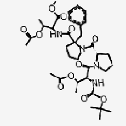 COC(=O)C(NC(=O)C1(Cc2ccccc2)CCCN1C(=O)[C@@H]1CCCN1C(=O)[C@@H](NC(=O)OC(C)(C)C)[C@@H](C)OC(C)=O)C(C)OC(C)=O